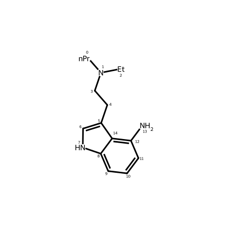 CCCN(CC)CCc1c[nH]c2cccc(N)c12